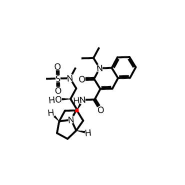 CC(C)n1c(=O)c(C(=O)N[C@@H]2C[C@H]3CC[C@@H](C2)N3C[C@@H](O)CN(C)S(C)(=O)=O)cc2ccccc21